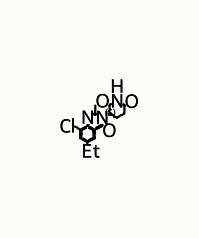 CCc1cc(Cl)c2nc(C)n([C@H]3CCC(=O)NC3=O)c(=O)c2c1